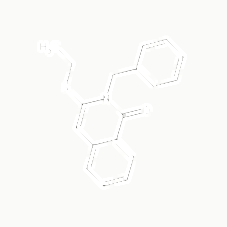 CCSc1cc2ccccc2c(=O)n1Cc1ccccc1